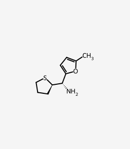 Cc1ccc([C@H](N)[C@H]2CCCS2)o1